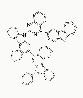 c1ccc(-n2c3ccccc3c3c4ccccc4c(-c4cc5c(c6ccccc46)c4ccccc4n5-c4nc(-c5ccc6oc7ccccc7c6c5)c5ccccc5n4)cc32)cc1